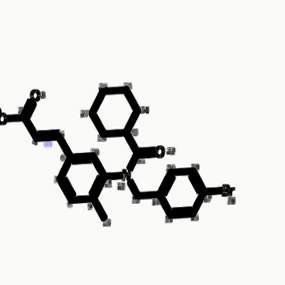 COC(=O)/C=C/c1ccc(C)c(N(Cc2ccc(Br)cc2)C(=O)C2CCCCC2)c1